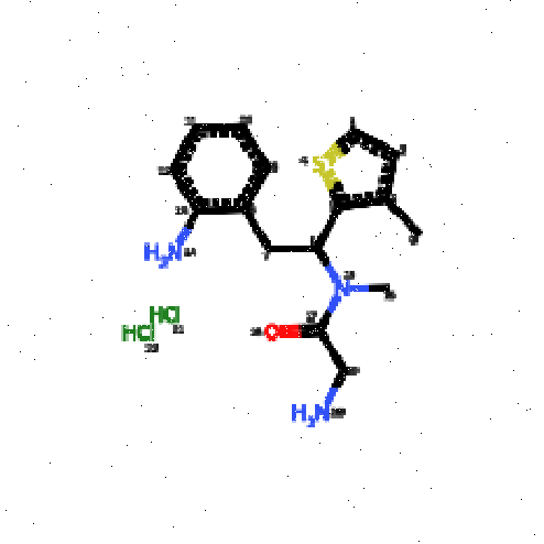 Cc1ccsc1C(Cc1ccccc1N)N(C)C(=O)CN.Cl.Cl